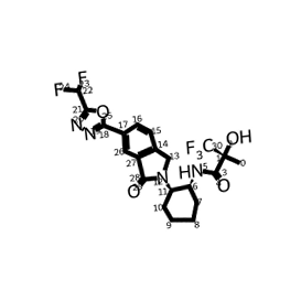 C[C@@](O)(C(=O)N[C@@H]1CCCC[C@H]1N1Cc2ccc(-c3nnc(C(F)F)o3)cc2C1=O)C(F)(F)F